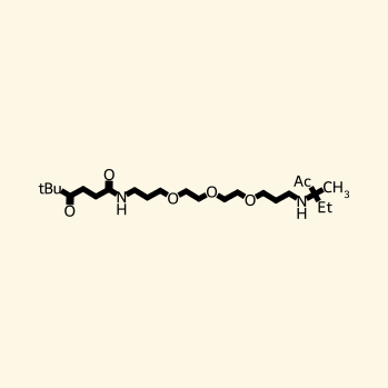 CCC(C)(NCCCOCCOCCOCCCNC(=O)CCC(=O)C(C)(C)C)C(C)=O